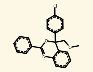 COCC1(c2ccc(Cl)cc2)OC(c2ccccc2)=Nc2ccccc21